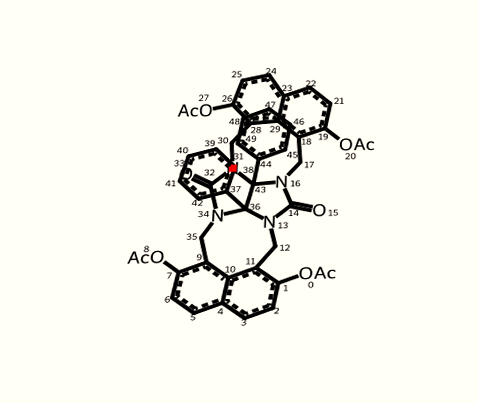 CC(=O)Oc1ccc2ccc(OC(C)=O)c3c2c1CN1C(=O)N2Cc4c(OC(C)=O)ccc5ccc(OC(C)=O)c(c45)CN4C(=O)N(C3)C1(c1ccccc1)C24c1ccccc1